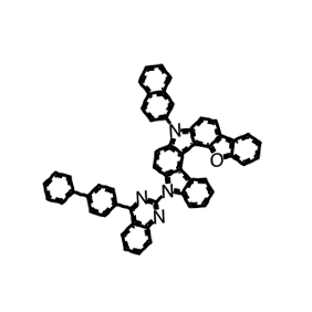 c1ccc(-c2ccc(-c3nc(-n4c5ccccc5c5c6c7c8oc9ccccc9c8ccc7n(-c7ccc8ccccc8c7)c6ccc54)nc4ccccc34)cc2)cc1